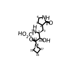 O=C(O)N[C@@H](CC1CCNC1=O)C(O)C(=O)N1CCC1